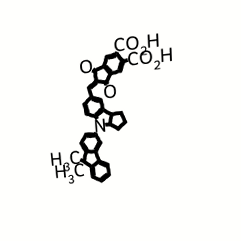 CC1(C)c2ccccc2-c2cc(N3c4ccc(C=C5C(=O)c6cc(C(=O)O)c(C(=O)O)cc6C5=O)cc4C4CCCC43)ccc21